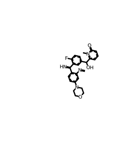 C=Nc1cc(N2CCOCC2)ccc1C(=N)c1cc(C(O)c2cccc(=O)n2C)ccc1F